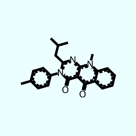 Cc1ccc(-n2c(CC(C)C)nc3c(c(=O)c4ccccc4n3C)c2=O)cc1